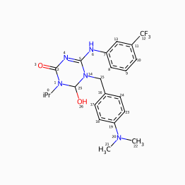 CC(C)N1C(=O)N=C(Nc2cccc(C(F)(F)F)c2)N(Cc2ccc(N(C)C)cc2)C1O